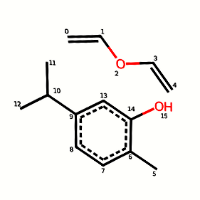 C=COC=C.Cc1ccc(C(C)C)cc1O